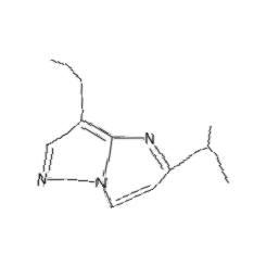 CCc1cnn2ccc(C(C)C)nc12